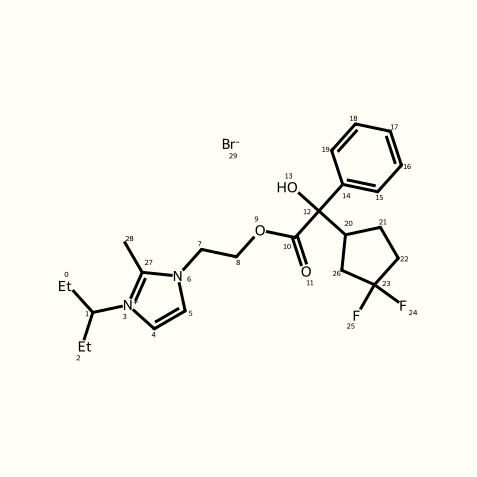 CCC(CC)[n+]1ccn(CCOC(=O)C(O)(c2ccccc2)C2CCC(F)(F)C2)c1C.[Br-]